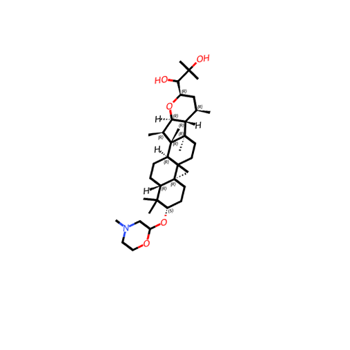 C[C@@H]1C[C@H](C(O)C(C)(C)O)O[C@H]2[C@H]1[C@@]1(C)CCC34C[C@@]35CC[C@H](OC3CN(C)CCO3)C(C)(C)[C@@H]5CC[C@H]4[C@]1(C)[C@H]2C